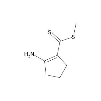 CSC(=S)C1=C(N)CCC1